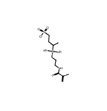 C=C(C)C(=O)NCCC[N+](CCC)(CCC)C(C)CCS(=O)(=O)[O-]